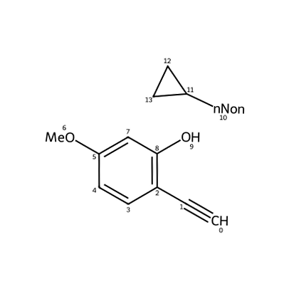 C#Cc1ccc(OC)cc1O.CCCCCCCCCC1CC1